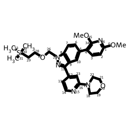 COc1ccc(-c2ccc3c(c2)c(-c2ccnc(N4CCOCC4)c2)nn3COCC[Si](C)(C)C)c(OC)n1